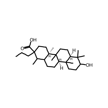 CCCC1(C(=O)O)CC[C@]2(C)C(CC[C@@H]3C4(C)CCC(O)C(C)(C)[C@@H]4CCC32C)C1C